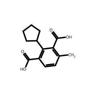 Cc1ccc(C(=O)O)c(C2CCCC2)c1C(=O)O